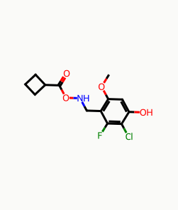 COc1cc(O)c(Cl)c(F)c1CNOC(=O)C1CCC1